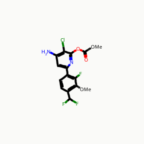 COC(=O)Oc1nc(-c2ccc(C(F)F)c(OC)c2F)cc(N)c1Cl